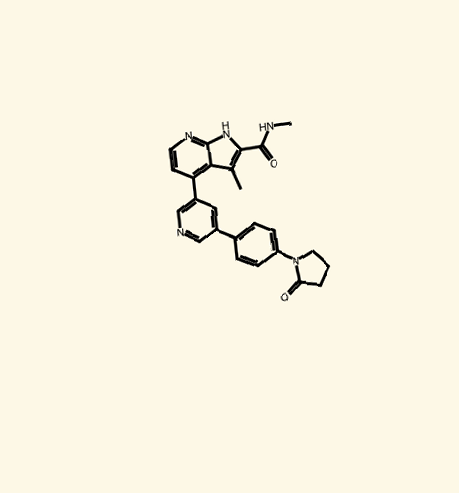 CNC(=O)c1[nH]c2nccc(-c3cncc(-c4ccc(N5CCCC5=O)cc4)c3)c2c1C